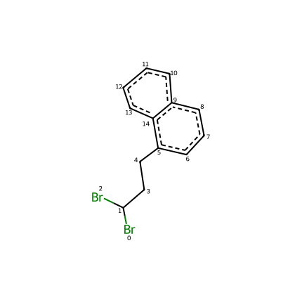 BrC(Br)CCc1cccc2ccccc12